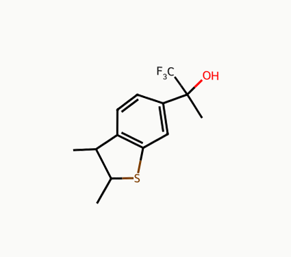 CC1Sc2cc(C(C)(O)C(F)(F)F)ccc2C1C